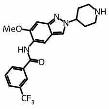 COc1cc2nn(C3CCNCC3)cc2cc1NC(=O)c1cccc(C(F)(F)F)c1